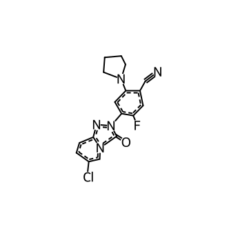 N#Cc1cc(F)c(-n2nc3ccc(Cl)cn3c2=O)cc1N1CCCC1